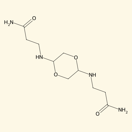 NC(=O)CCNC1COC(NCCC(N)=O)CO1